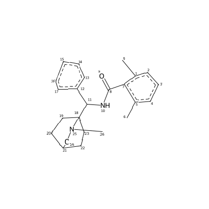 Cc1cccc(C)c1C(=O)NC(c1ccccc1)C12CCC(CC1)CN2C